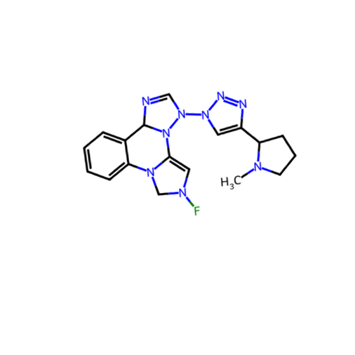 CN1CCCC1c1cn(N2C=NC3c4ccccc4N4CN(F)C=C4N32)nn1